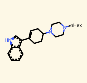 CCCCCCN1CCN(C2CC=C(c3c[nH]c4ccccc34)CC2)CC1